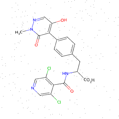 Cn1ncc(O)c(-c2ccc(CC(NC(=O)c3c(Cl)cncc3Cl)C(=O)O)cc2)c1=O